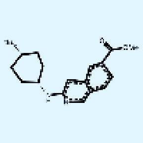 COC(=O)c1ccc2cnc(N[C@H]3CC[C@@H](C(C)(C)C)CC3)cc2c1